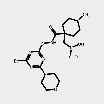 CCc1nc(NNC(=O)[C@]2(CN(O)C=O)CC[C@@H](C)CC2)nc(N2CCOCC2)n1